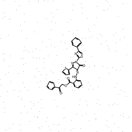 O=C(COC(=O)c1ccccc1N/N=C1/C(=O)N(c2nc(-c3ccccc3)cs2)N=C1c1cccs1)c1ccccc1